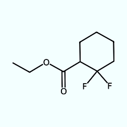 CCOC(=O)C1CCCCC1(F)F